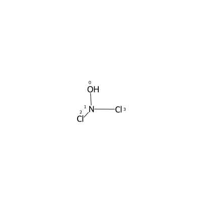 ON(Cl)Cl